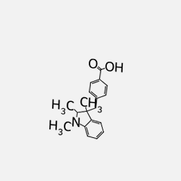 CC1N(C)c2ccccc2C1(C)Cc1ccc(C(=O)O)cc1